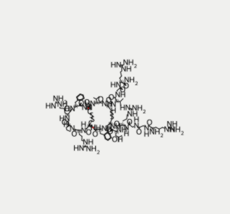 CC(C)C[C@H](NC(=O)[C@H](CCCNC(=N)N)NC(=O)CNC(=O)CNC(=O)[C@@H](N)CCCNC(=N)N)C(=O)N[C@H]1CSSC[C@@H](C(=O)N[C@H](C(=O)NCC(=O)N[C@@H](CCCNC(=N)N)C(N)=O)C(C)C)NC(=O)[C@H](C(C)C)NC(=O)[C@@H]2CSSC[C@H](NC(=O)[C@H](Cc3ccc(O)cc3)NC1=O)C(=O)N[C@@H](CCCNC(=N)N)C(=O)N1CCC[C@H]1C(=O)N[C@@H](CCCNC(=N)N)C(=O)N[C@@H](Cc1ccccc1)C(=O)N2